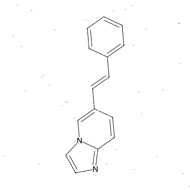 C(=C\c1ccc2nccn2c1)/c1ccccc1